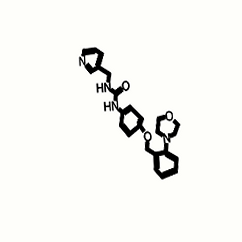 O=C(NCc1cccnc1)Nc1ccc(OCc2ccccc2N2CCOCC2)cc1